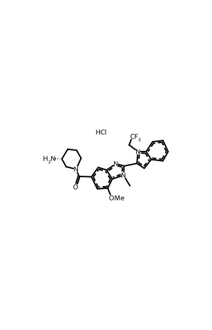 COc1cc(C(=O)N2CCC[C@@H](N)C2)cc2nc(-c3cc4ccccc4n3CC(F)(F)F)n(C)c12.Cl